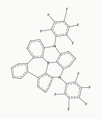 Fc1c(F)c(F)c(N2c3cccc4c3B3c5c(cccc5N(c5c(F)c(F)c(F)c(F)c5F)c5cccc2c53)-c2ccccc2-4)c(F)c1F